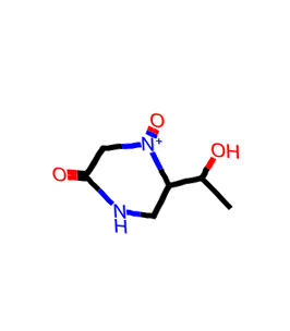 CC(O)C1CNC(=O)C[N+]1=O